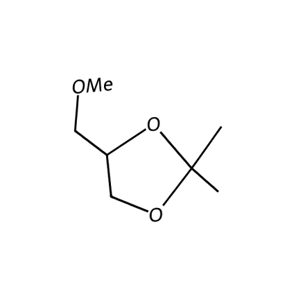 [CH2]OCC1COC(C)(C)O1